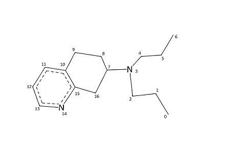 CCCN(CCC)C1CCc2cccnc2C1